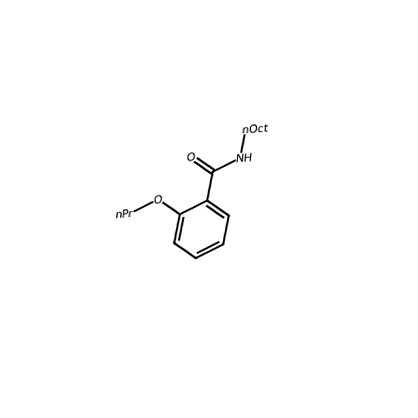 CCCCCCCCNC(=O)c1ccccc1OCCC